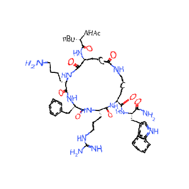 CCCC[C@H](NC(C)=O)C(=O)N[C@H]1CCC(=O)NCCC[C@@H](C(=O)N[C@@H](Cc2c[nH]c3ccccc23)C(N)=O)NC(=O)[C@H](CCCNC(=N)N)NC(=O)[C@@H](Cc2ccccc2)NC(=O)[C@H](CCCCN)NC1=O